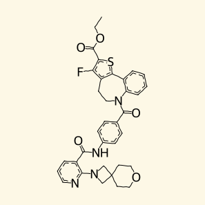 CCOC(=O)c1sc2c(c1F)CCN(C(=O)c1ccc(NC(=O)c3cccnc3N3CC4(CCOCC4)C3)cc1)c1ccccc1-2